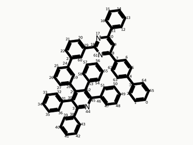 c1ccc(-c2ccc(-c3cc(-c4ccccc4)nc(-c4cccc(-c5cccc(-c6c(-c7ccccc7)c(-c7ccccc7)nc(-c7ccccc7)c6-c6ccccc6)c5)c4)n3)cc2)cc1